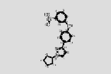 O=[N+]([O-])c1cccc(Oc2ccc(-c3ccn(C4CCCC4)n3)cc2)c1